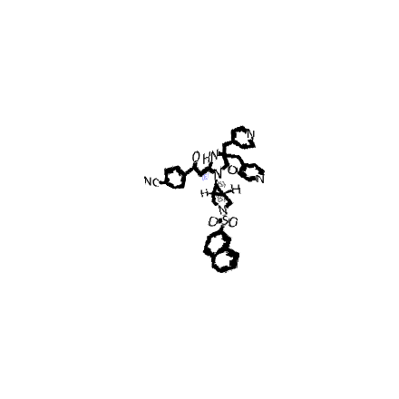 N#Cc1ccc(C(=O)/C=C2\NC(Cc3ccncc3)(Cc3ccncc3)C(=O)N2[C@H]2[C@@H]3CN(S(=O)(=O)c4ccc5ccccc5c4)C[C@@H]32)cc1